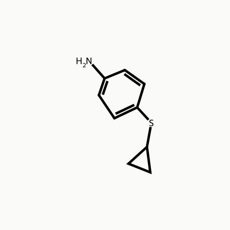 Nc1ccc(SC2CC2)cc1